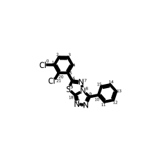 Clc1cccc(-c2nn3c(-c4ccccc4)nnc3s2)c1Cl